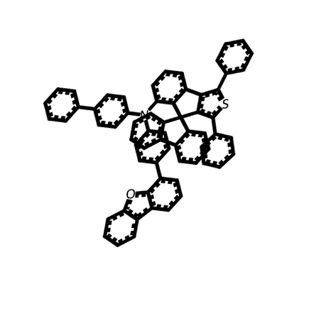 c1ccc(-c2ccc(N(c3ccc(-c4cccc5c4oc4ccccc45)cc3)c3cccc4c3C3(c5ccccc5-c5ccccc53)c3c(-c5ccccc5)sc(-c5ccccc5)c3-4)cc2)cc1